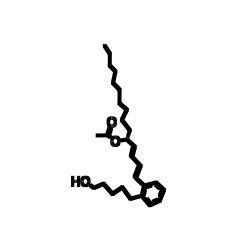 CCCCCCCCCC[C@@H](/C=C/C=C/c1ccccc1CCCCCO)OC(C)=O